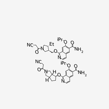 CC(C)Oc1cc2c(O[C@H]3CC[C@@H]4CN(C(=O)CC#N)C[C@@H]43)nccc2cc1C(N)=O.CC[C@H]1CN(C(=O)CC#N)C[C@@H]1COc1nccc2cc(C(N)=O)c(OC(C)C)cc12